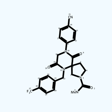 CNC(=O)N1CCC2(C1)C(=O)N(c1ccc(C#N)cc1)CC(=O)N2Cc1ccc(C(F)(F)F)cc1